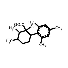 CCOC(=O)C1(C(C)=O)C(c2c(C)cc(C)cc2C)CCC(C)C1C